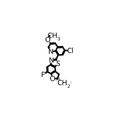 [CH2][C@@H]1Cc2c(c(F)cc3nc(-c4cc(Cl)cc5cc(OC)cnc45)sc23)O1